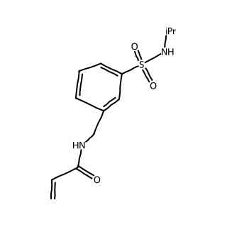 C=CC(=O)NCc1cccc(S(=O)(=O)NC(C)C)c1